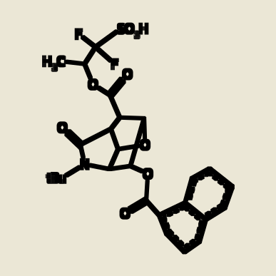 CC(OC(=O)C1C2OC3C1C(=O)N(C(C)(C)C)C3C2OC(=O)c1cccc2ccccc12)C(F)(F)S(=O)(=O)O